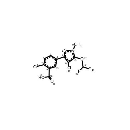 Cn1nc(-c2ccc(Cl)c(C(=O)O)c2)c(Cl)c1OC(F)F